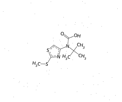 CSc1nc(N(C(=O)O)C(C)(C)C)cs1